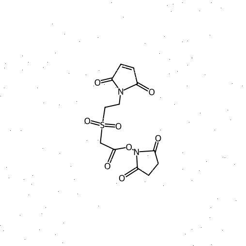 O=C(CS(=O)(=O)CCN1C(=O)C=CC1=O)ON1C(=O)CCC1=O